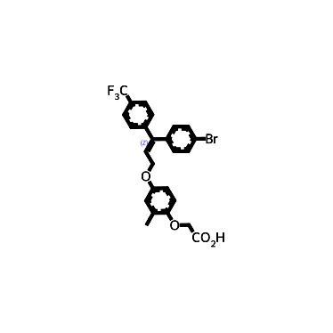 Cc1cc(OC/C=C(\c2ccc(Br)cc2)c2ccc(C(F)(F)F)cc2)ccc1OCC(=O)O